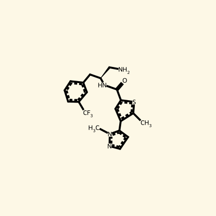 Cc1sc(C(=O)N[C@H](CN)Cc2cccc(C(F)(F)F)c2)cc1-c1ccnn1C